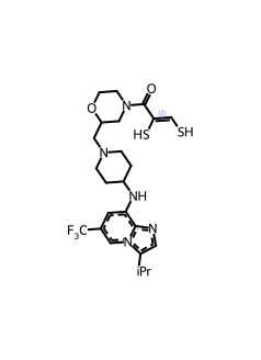 CC(C)c1cnc2c(NC3CCN(CC4CN(C(=O)/C(S)=C/S)CCO4)CC3)cc(C(F)(F)F)cn12